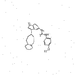 CCOc1ccc(NC(=S)Nc2ccc3[nH]cc(C4CCC5CCCCN5CC4)c3c2)cc1